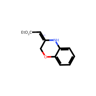 CCOC(=O)/C=C1\COc2ccccc2N1